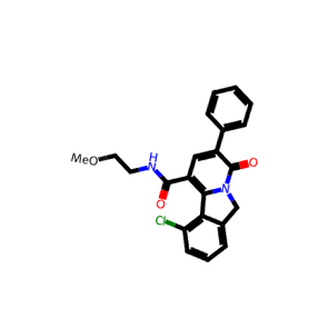 COCCNC(=O)c1cc(-c2ccccc2)c(=O)n2c1-c1c(Cl)cccc1C2